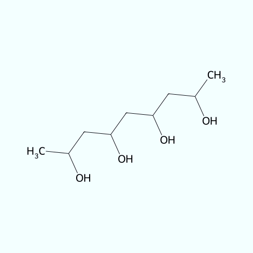 CC(O)CC(O)CC(O)CC(C)O